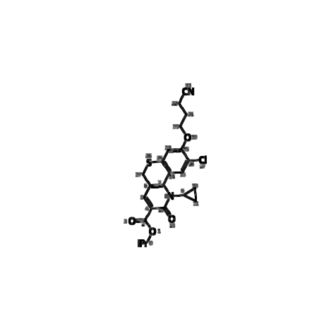 CC(C)OC(=O)c1cc2c(n(C3CC3)c1=O)-c1cc(Cl)c(OCCCC#N)cc1SC2